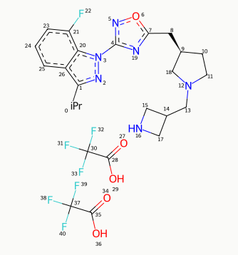 CC(C)c1nn(-c2noc(C[C@H]3CCN(CC4CNC4)C3)n2)c2c(F)cccc12.O=C(O)C(F)(F)F.O=C(O)C(F)(F)F